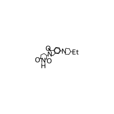 CCC1CCN(c2ccc3c(c2)CN(C2CCC(=O)NC2=O)C3=O)CC1